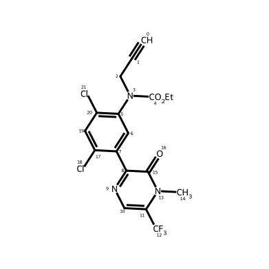 C#CCN(C(=O)OCC)c1cc(-c2ncc(C(F)(F)F)n(C)c2=O)c(Cl)cc1Cl